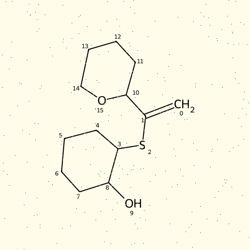 C=C(SC1CCCCC1O)C1CCCCO1